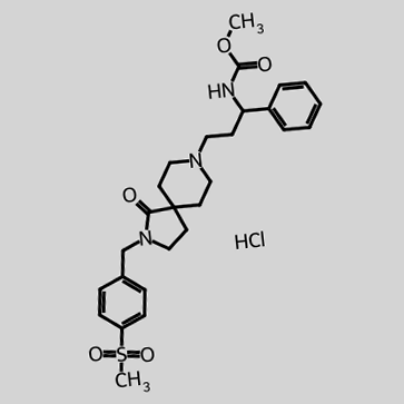 COC(=O)NC(CCN1CCC2(CC1)CCN(Cc1ccc(S(C)(=O)=O)cc1)C2=O)c1ccccc1.Cl